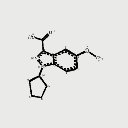 COc1ccc2c(c1)c(C(=O)O)nn2C1CCCC1